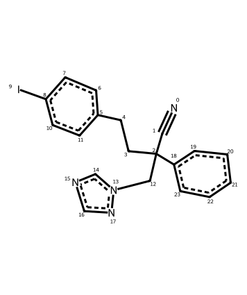 N#CC(CCc1ccc(I)cc1)(Cn1cncn1)c1ccccc1